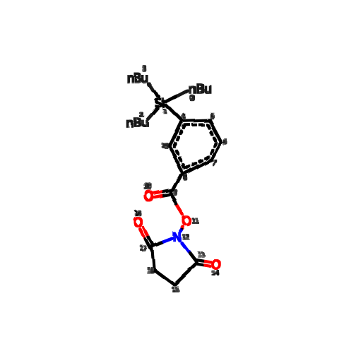 CCCC[Si](CCCC)(CCCC)c1cccc(C(=O)ON2C(=O)CCC2=O)c1